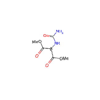 COC(=O)B(NC(N)=O)C(=O)OC